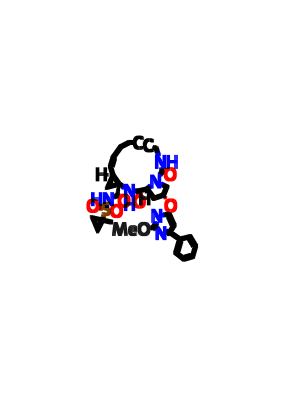 COc1nc(O[C@@H]2C[C@H]3C(=O)N[C@]4(C(=O)NS(=O)(=O)C5(C)CC5)C[C@H]4/C=C\CCCCCNC(=O)N3C2)cc(-c2ccccc2)n1